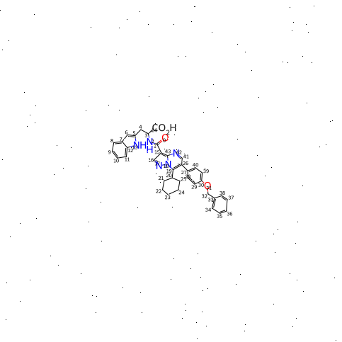 O=C(N[C@@H](Cc1cc2ccccc2[nH]1)C(=O)O)c1cnn2c(C3CCCCC3)c(-c3ccc(OCc4ccccc4)cc3)cnc12